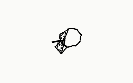 Cc1c2cc3cc1C3CCCC2